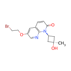 C[C@]1(O)C[C@@H](n2c(=O)ccc3cc(OCCBr)cnc32)C1